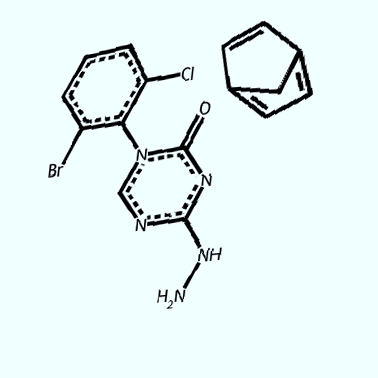 C1=CC2=CC=C1C2.NNc1ncn(-c2c(Cl)cccc2Br)c(=O)n1